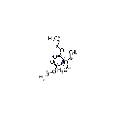 C=CCOC(=O)/C=C\C(=O)OC=C.CCOCC